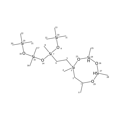 CC1C[Si](C)(CC[Si](C)(O[Si](C)(C)C)O[Si](C)(C)O[Si](C)(C)C)O[SiH](C)O[SiH](C)O1